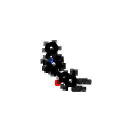 [2H]c1c2c(c([2H])c(OC)c1OC)C(=O)C(CC1([2H])C([2H])([2H])C([2H])([2H])N(Cc3ccccc3)C([2H])([2H])C1([2H])[2H])C2